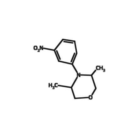 CC1COCC(C)N1c1cccc([N+](=O)[O-])c1